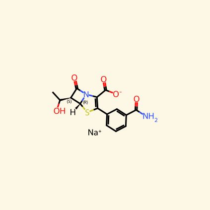 CC(O)[C@H]1C(=O)N2C(C(=O)[O-])=C(c3cccc(C(N)=O)c3)S[C@H]12.[Na+]